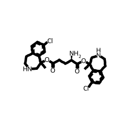 CC1(OC(=O)CC[C@@H](N)C(=O)OC2(C)CNCCc3ccc(Cl)cc32)CNCCc2ccc(Cl)cc21